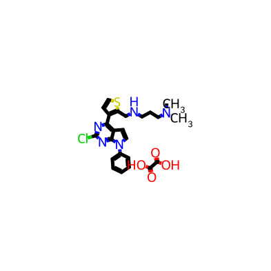 CN(C)CCCNCc1sccc1-c1nc(Cl)nc2c1ccn2-c1ccccc1.O=C(O)C(=O)O